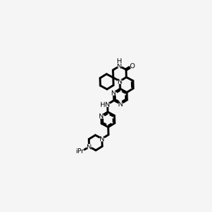 CC(C)N1CCN(Cc2ccc(Nc3ncc4c(n3)N3C(C=C4)C(=O)NCC34CCCCC4)nc2)CC1